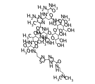 Cc1c(N)nc(C(CC(N)=O)NCC(N)C(N)=O)nc1C(=O)NC(C(=O)NC(C)C(O)C(C)C(=O)NC(C(=O)NCCc1nc(-c2ncc(C(=O)NCCCN(C)C)[nH]2)cs1)C(C)O)C(OC1OC(CO)C(O)C(O)C1OC1OC(CO)C(O)C(OC(N)=O)C1O)c1c[nH]cn1